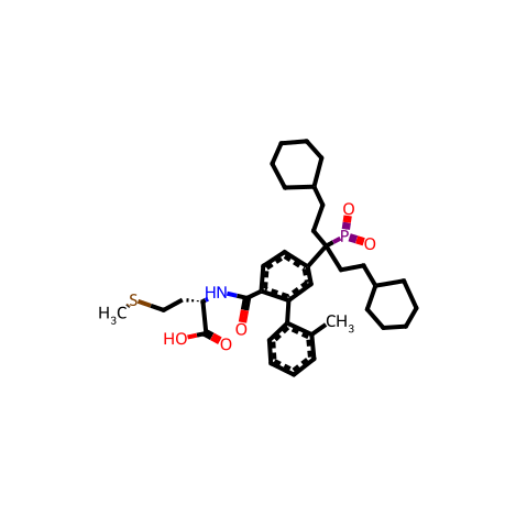 CSCC[C@H](NC(=O)c1ccc(C(CCC2CCCCC2)(CCC2CCCCC2)P(=O)=O)cc1-c1ccccc1C)C(=O)O